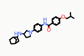 CC(C)COc1ccc(C(=O)Nc2ccc(N3CCC(NC4CC5CCC4C5)C3)cc2)cc1